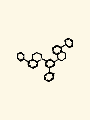 c1ccc(-c2cc(N3CCCc4c(-c5ccccc5)cccc43)cc(N3CCCc4c(-c5ccccc5)cccc43)c2)cc1